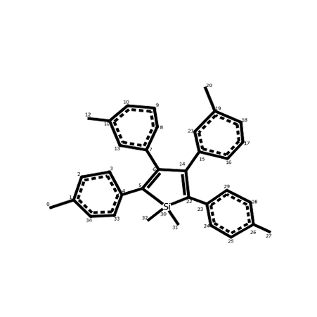 Cc1ccc(C2=C(c3cccc(C)c3)C(c3cccc(C)c3)=C(c3ccc(C)cc3)[Si]2(C)C)cc1